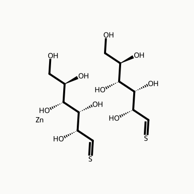 OC[C@@H](O)[C@@H](O)[C@H](O)[C@@H](O)C=S.OC[C@@H](O)[C@@H](O)[C@H](O)[C@@H](O)C=S.[Zn]